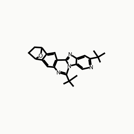 CC(C)(C)c1cc2nc3c4cc5c(cc4nc(C(C)(C)C)n3c2cn1)C1CCC5O1